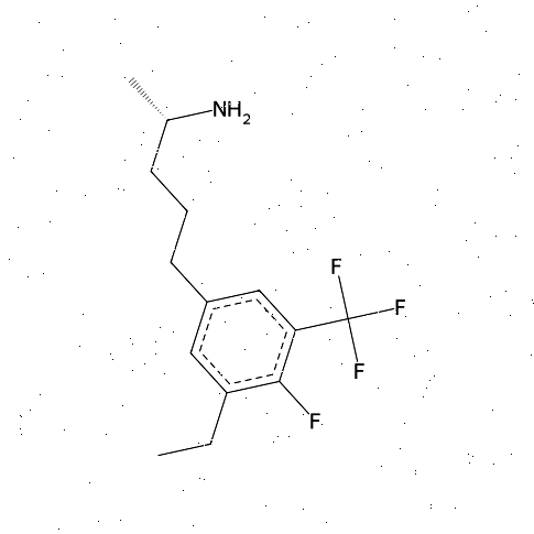 CCc1cc(CCC[C@H](C)N)cc(C(F)(F)F)c1F